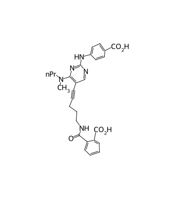 CCCN(C)c1nc(Nc2ccc(C(=O)O)cc2)ncc1C#CCCCNC(=O)c1ccccc1C(=O)O